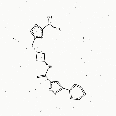 C[C@H](O)c1ccn(C[C@H]2C[C@H](NC(=O)c3cc(-c4ccccc4)no3)C2)n1